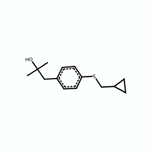 CC(C)(O)Cc1ccc(SCC2CC2)cc1